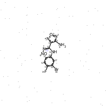 Nc1nonc1/C(=N/N=O)Nc1ccc(F)c(Br)c1